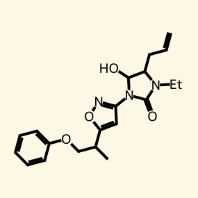 C=CCC1C(O)N(c2cc(C(C)COc3ccccc3)on2)C(=O)N1CC